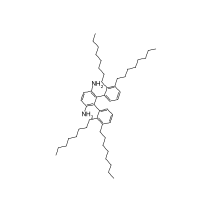 CCCCCCCCc1cccc(-c2c(N)ccc(N)c2-c2cccc(CCCCCCCC)c2CCCCCCCC)c1CCCCCCCC